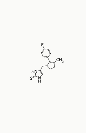 CC1=C(c2ccc(F)cc2)C(Cc2c[nH]c(=S)[nH]2)CC1